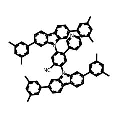 Cc1cc(C)cc(-c2ccc3c4ccc(-c5cc(C)cc(C)c5)cc4n(-c4cc(-c5cccnc5)c(-n5c6cc(-c7cc(C)cc(C)c7)ccc6c6ccc(-c7cc(C)cc(C)c7)cc65)cc4C#N)c3c2)c1